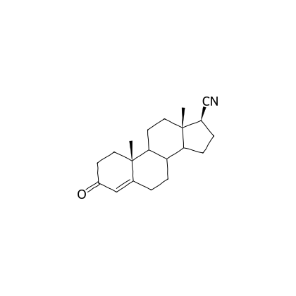 C[C@]12CCC(=O)C=C1CCC1C2CC[C@@]2(C)C1CC[C@@H]2C#N